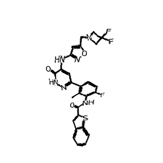 Cc1c(-c2cc(Nc3cc(CN4CC(F)(F)C4)on3)c(=O)[nH]n2)ccc(F)c1NC(=O)c1cc2ccccc2s1